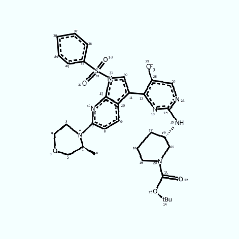 C[C@H]1COCCN1c1ccc2c(-c3nc(N[C@H]4CCCN(C(=O)OC(C)(C)C)C4)ncc3C(F)(F)F)cn(S(=O)(=O)c3ccccc3)c2n1